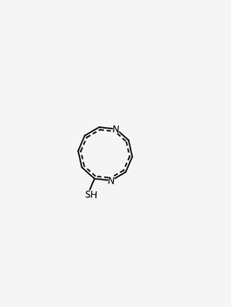 Sc1ccccncccn1